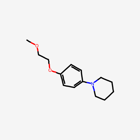 COCCOc1ccc(N2CCCCC2)cc1